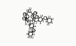 CN(Cc1ccc(Oc2ccccc2)cc1)C(=O)OC(=O)C1CCC1C(=O)OC(=O)N(C)Cc1ccc(Oc2ccccc2)cc1